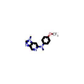 CN(c1ccc(OC(F)(F)F)cc1)c1cc2c(cn1)ncn2C